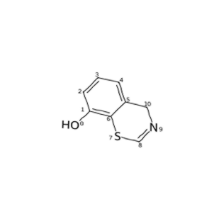 Oc1cccc2c1SC=NC2